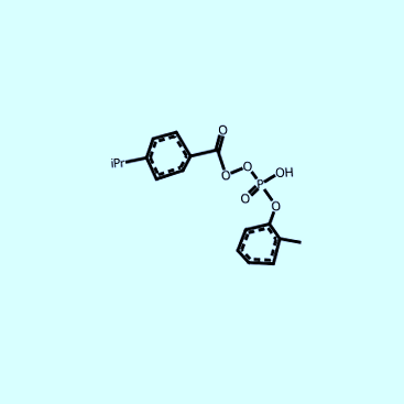 Cc1ccccc1OP(=O)(O)OOC(=O)c1ccc(C(C)C)cc1